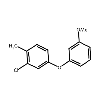 COc1cccc(Oc2ccc(C)c(Cl)c2)c1